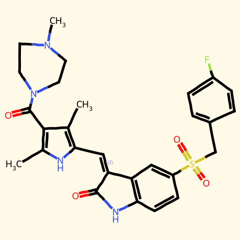 Cc1[nH]c(/C=C2\C(=O)Nc3ccc(S(=O)(=O)Cc4ccc(F)cc4)cc32)c(C)c1C(=O)N1CCN(C)CC1